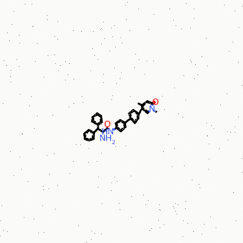 Cc1cc(=O)n(C)cc1-c1ccc(-c2ccc(NC(=O)[C@@H](N)C(c3ccccc3)c3ccccc3)cc2)cc1